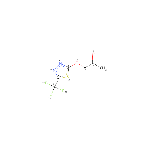 CC(=O)COc1nnc(C(F)(F)F)s1